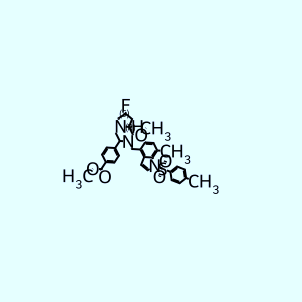 COC(=O)c1ccc(C2CN3C[C@@H](F)C[C@@H]3CN2Cc2c(OC)cc(C)c3c2ccn3S(=O)(=O)c2ccc(C)cc2)cc1